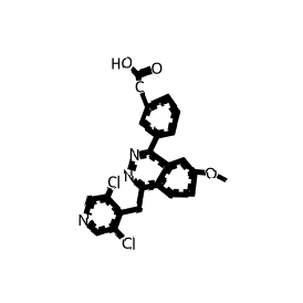 COc1ccc2c(Cc3c(Cl)cncc3Cl)nnc(-c3cccc(CC(=O)O)c3)c2c1